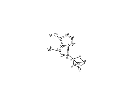 Cc1ncnc2c1c(Br)nn2C12CNC(C1)C2